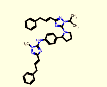 CC(C)n1nc(/C=C/Cc2ccccc2)nc1N1CCCC1c1ccc(Nc2nc(/C=C/Cc3ccccc3)nn2C)cc1